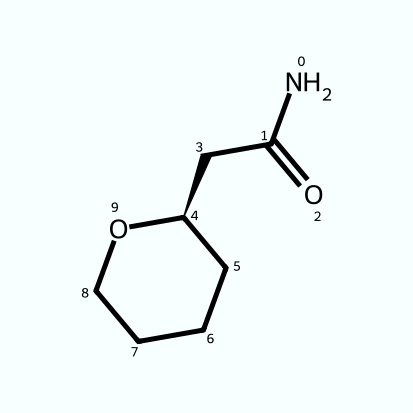 NC(=O)C[C@H]1CCCCO1